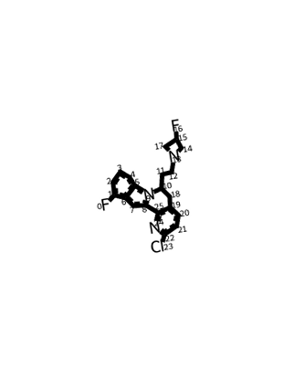 Fc1cccc2c1cc1n2C(CCN2CC(F)C2)Cc2ccc(Cl)nc2-1